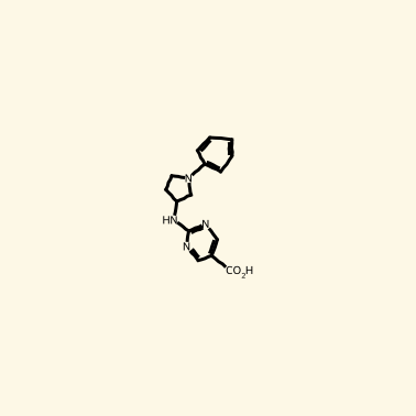 O=C(O)c1cnc(NC2CCN(c3ccccc3)C2)nc1